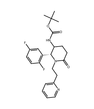 CC(C)(C)OC(=O)NC1CCC(=O)N(CCc2ccccn2)[C@@H]1c1cc(F)ccc1F